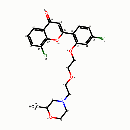 O=C(O)C1CN(CCOCCOc2cc(Br)ccc2-c2cc(=O)c3cccc(Cl)c3o2)CCO1